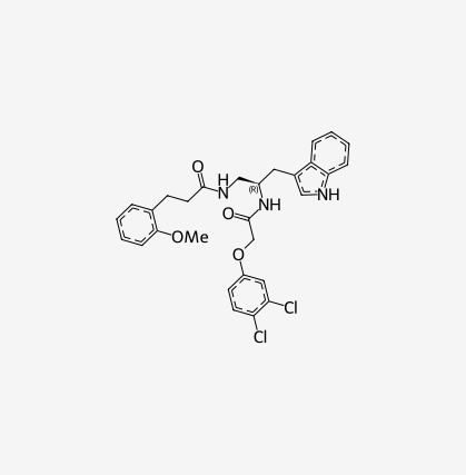 COc1ccccc1CCC(=O)NC[C@@H](Cc1c[nH]c2ccccc12)NC(=O)COc1ccc(Cl)c(Cl)c1